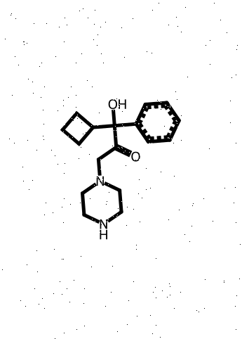 O=C(CN1CCNCC1)C(O)(c1ccccc1)C1CCC1